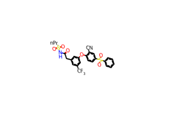 CCCS(=O)(=O)NC(=O)Cc1cc(Oc2ccc(S(=O)(=O)c3ccccc3)cc2C#N)cc(C(F)(F)F)c1